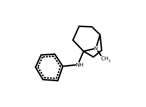 CN1C2CCCC1(Nc1ccccc1)CC2